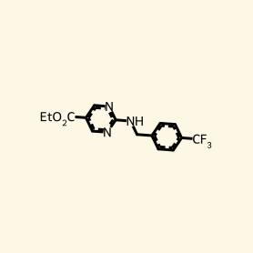 CCOC(=O)c1cnc(NCc2ccc(C(F)(F)F)cc2)nc1